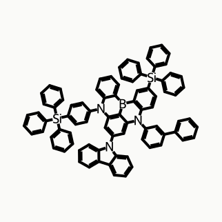 c1ccc(-c2cccc(N3c4ccc([Si](c5ccccc5)(c5ccccc5)c5ccccc5)cc4B4c5ccccc5N(c5ccc([Si](c6ccccc6)(c6ccccc6)c6ccccc6)cc5)c5cc(-n6c7ccccc7c7ccccc76)cc3c54)c2)cc1